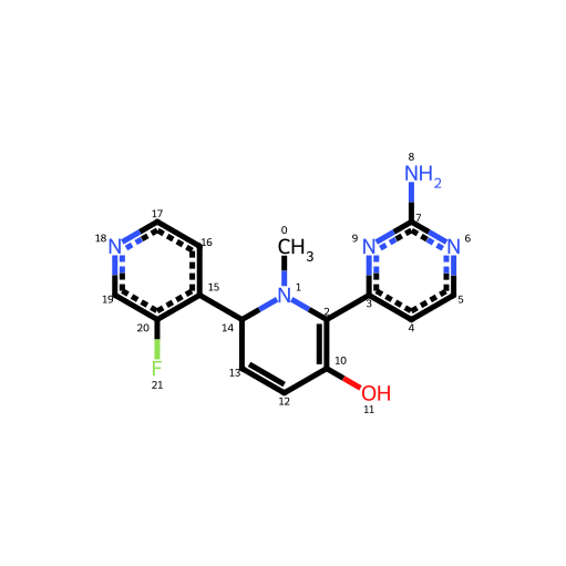 CN1C(c2ccnc(N)n2)=C(O)C=CC1c1ccncc1F